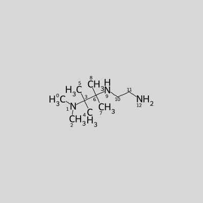 CN(C)C(C)(C)C(C)(C)NCCN